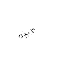 COc1cc(OC)c(-c2c(Cl)c(C(=O)Nc3cncc(F)c3C)nn2C)cn1